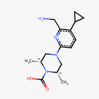 C[C@@H]1CN(c2ccc(C3CC3)c(CN)n2)C[C@H](C)N1C(=O)O